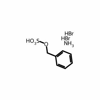 Br.Br.N.O=S(=O)(O)OCc1ccccc1